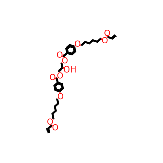 C=CC(=O)OCCCCCCOc1ccc(C(=O)OCC(O)COC(=O)c2ccc(OCCCCCCOC(=O)C=C)cc2)cc1